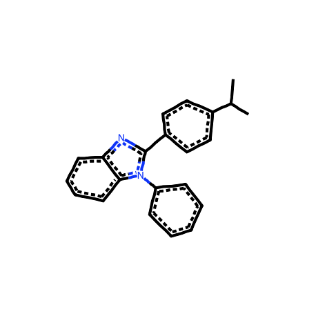 CC(C)c1ccc(-c2nc3ccccc3n2-c2ccccc2)cc1